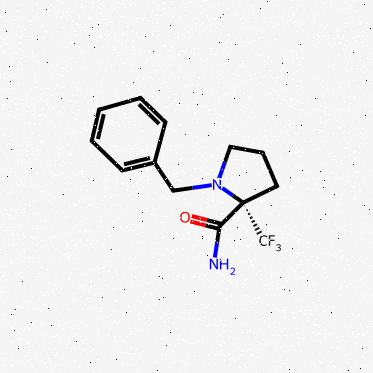 NC(=O)[C@]1(C(F)(F)F)CCCN1Cc1ccccc1